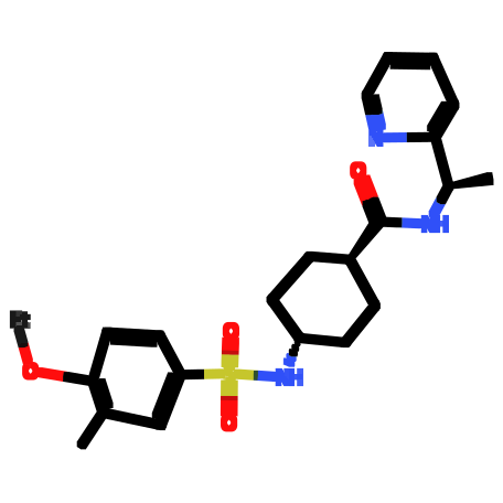 CCOc1ccc(S(=O)(=O)N[C@H]2CC[C@H](C(=O)N[C@H](C)c3ccccn3)CC2)cc1C